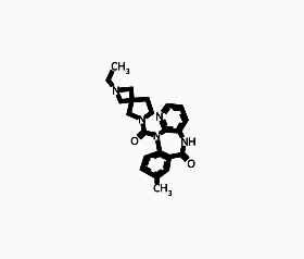 CCN1CC2(CCN(C(=O)N3c4ccc(C)cc4C(=O)Nc4cccnc43)C2)C1